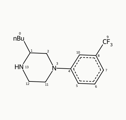 [CH2]CCCC1CN(c2cccc(C(F)(F)F)c2)CCN1